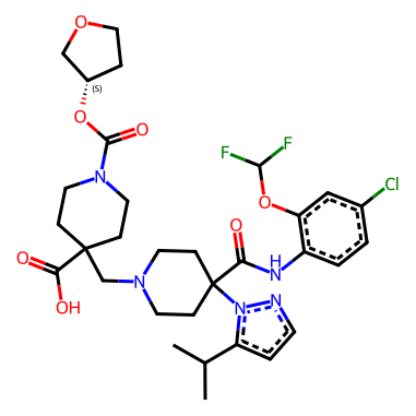 CC(C)c1ccnn1C1(C(=O)Nc2ccc(Cl)cc2OC(F)F)CCN(CC2(C(=O)O)CCN(C(=O)O[C@H]3CCOC3)CC2)CC1